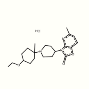 CCOC1CCC(C)(N2CCC(n3c(=O)oc4ccc(C)nc43)CC2)CC1.Cl